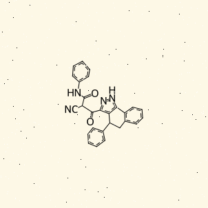 N#CC(C(=O)Nc1ccccc1)C(=O)c1n[nH]c2c1C(c1ccccc1)Cc1ccccc1-2